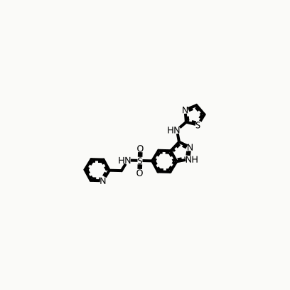 O=S(=O)(NCc1ccccn1)c1ccc2[nH]nc(Nc3nccs3)c2c1